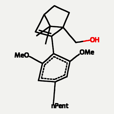 CCCCCc1cc(OC)c(C2=CC3CCC2(CO)C3(C)C)c(OC)c1